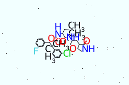 CC(C)CC(NC(=O)OC(c1cccc(F)c1)C(C)(C)c1cccc(Cl)c1)C(=O)NC(C=O)CC1CCNC1=O